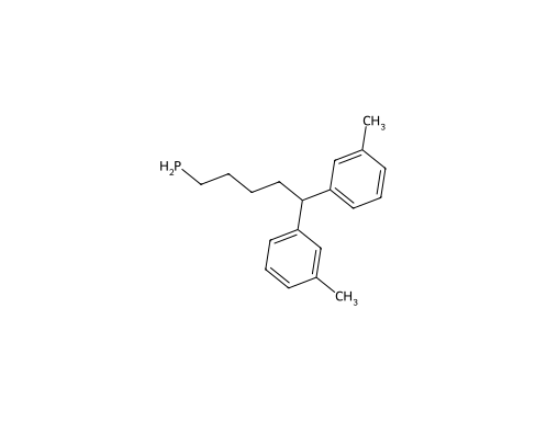 Cc1cccc(C(CCCCP)c2cccc(C)c2)c1